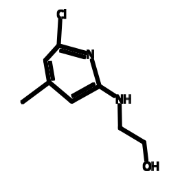 Cc1cc(Cl)nc(NCCO)c1